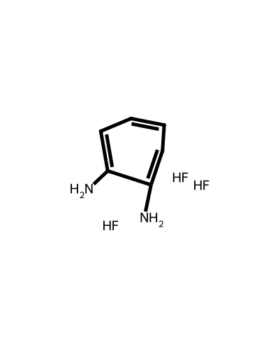 F.F.F.Nc1ccccc1N